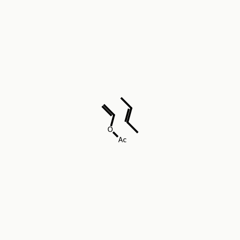 C=COC(C)=O.CC=CC